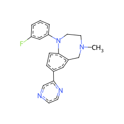 CN1CCN(c2cccc(F)c2)c2ccc(-c3cnccn3)cc2C1